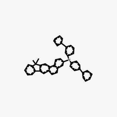 CC1(C)c2ccccc2-c2cc3ccc4cc(N(c5ccc(-c6ccccc6)cc5)c5cccc(-c6ccccc6)c5)ccc4c3cc21